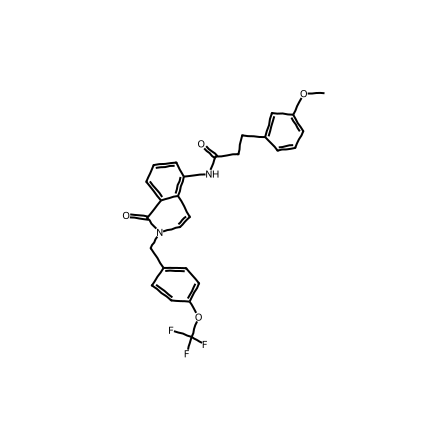 COc1cccc(CCC(=O)Nc2cccc3c(=O)n(Cc4ccc(OC(F)(F)F)cc4)ccc23)c1